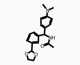 CC(=O)NC(c1ccc(N(C)C)cc1)c1cccc(C2OCCO2)c1